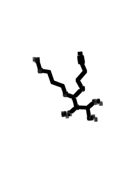 [2H]OCCCOP(OCCC#N)N(C)C(C)C